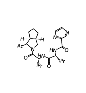 CC(=O)C1[C@H]2CCC[C@H]2CN1C(=O)[C@@H](NC(=O)[C@@H](NC(=O)c1cnccn1)C(C)C)C(C)C